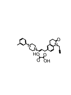 C#CCN1C(=O)CCc2cc(CC=CN3CCN(c4cccc(C)c4)CC3)ccc21.O=C(O)C(=O)O